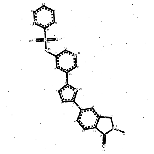 CN1Cc2cc(-c3ccc(-c4cncc(NS(=O)(=O)c5ccccn5)c4)s3)ccc2C1=O